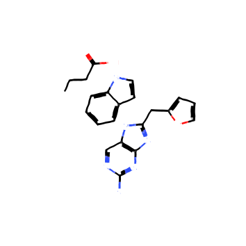 CCCC(=O)O.Nc1ncc2[nH]c(Cc3ccco3)nc2n1.c1ccc2[nH]ccc2c1